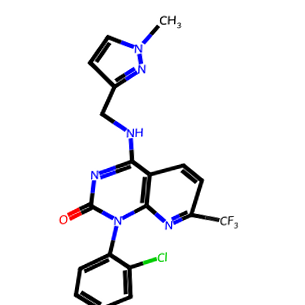 Cn1ccc(CNc2nc(=O)n(-c3ccccc3Cl)c3nc(C(F)(F)F)ccc23)n1